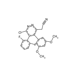 COc1cc(OC)cc(-c2c(CC#N)nnc(Cl)c2-c2c(F)cccc2F)c1